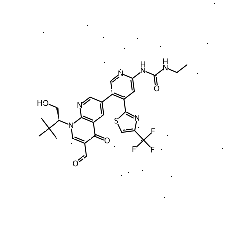 CCNC(=O)Nc1cc(-c2nc(C(F)(F)F)cs2)c(-c2cnc3c(c2)c(=O)c(C=O)cn3[C@H](CO)C(C)(C)C)cn1